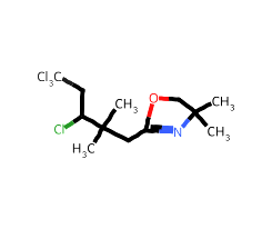 CC1(C)COC(CC(C)(C)C(Cl)CC(Cl)(Cl)Cl)=N1